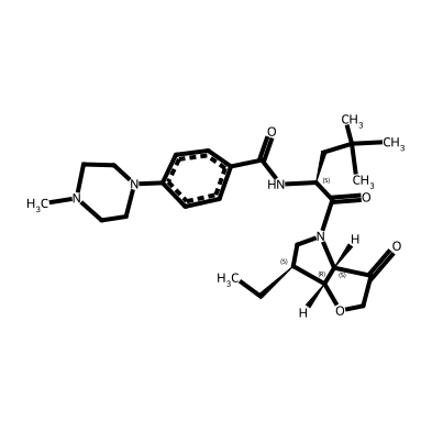 CC[C@H]1CN(C(=O)[C@H](CC(C)(C)C)NC(=O)c2ccc(N3CCN(C)CC3)cc2)[C@@H]2C(=O)CO[C@H]12